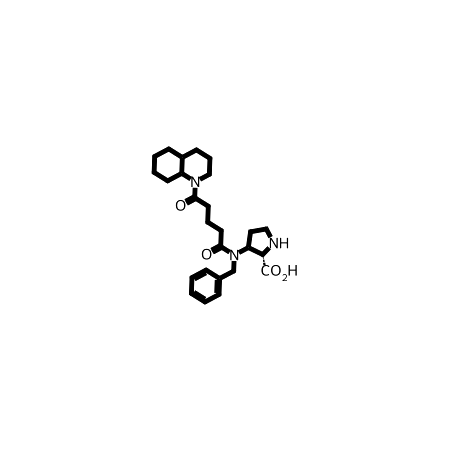 O=C(O)[C@H]1NCCC1N(Cc1ccccc1)C(=O)CCCC(=O)N1CCCC2CCCCC21